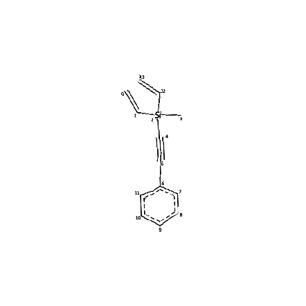 C=C[Si](C)(C#Cc1ccccc1)C=C